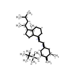 C=C1[C@H](C)C/C(=C/C=C2\CCC[C@@]3(C)C2CCC3[C@@H](C)CC(C)C)C[C@H]1O[Si](C)(C)C(C)(C)C